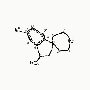 OC1CC2(CCNCC2)c2ccc(Br)cc21